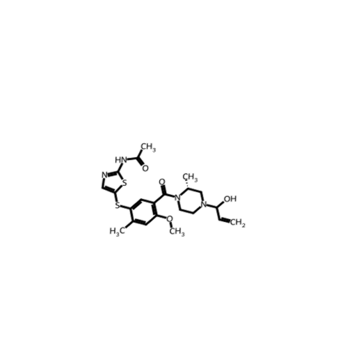 C=CC(O)N1CCN(C(=O)c2cc(Sc3cnc(NC(C)=O)s3)c(C)cc2OC)[C@H](C)C1